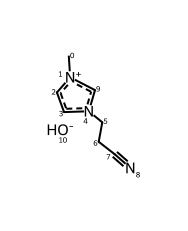 C[n+]1ccn(CCC#N)c1.[OH-]